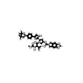 COC(=O)NC(C(=O)N1C[C@H](OC(=O)N2Cc3cc4c(cc3C2)OCO4)C[C@H]1c1nc(-c2ccc(B3OC(C)(C)C(C)(C)O3)cc2)c[nH]1)C(C)C